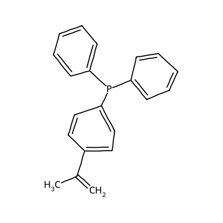 C=C(C)c1ccc(P(c2ccccc2)c2ccccc2)cc1